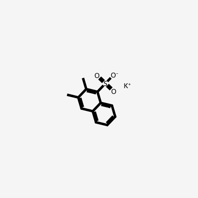 Cc1cc2ccccc2c(S(=O)(=O)[O-])c1C.[K+]